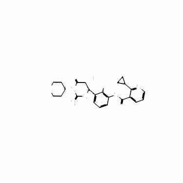 C[C@@H]1C[C@H](N2C(=N)N[C@](C)(c3cccc(NC(=O)c4cccnc4C4CC4)c3Cl)CC2=O)CCO1